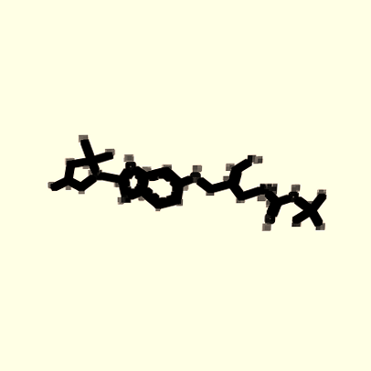 CC1CN(c2nc3ccc(OCC(=CF)CNC(=O)OC(C)(C)C)cc3o2)C(C)(C)C1